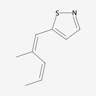 C/C=C\C(C)=C/c1ccns1